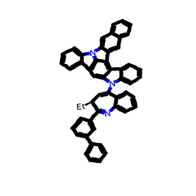 CC[C@H]1C=C(n2c3ccccc3c3c4c5cc6ccccc6cc5n5c6ccccc6c(cc32)c45)c2ccccc2N=C1c1cccc(-c2ccccc2)c1